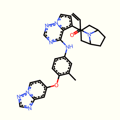 C=CC(=O)N1C2CCC1CC(c1ccn3ncnc(Nc4ccc(Oc5ccn6ncnc6c5)c(C)c4)c13)C2